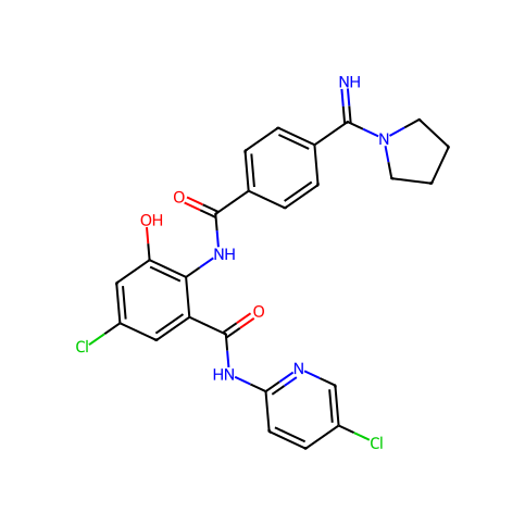 N=C(c1ccc(C(=O)Nc2c(O)cc(Cl)cc2C(=O)Nc2ccc(Cl)cn2)cc1)N1CCCC1